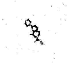 CC1CN(C(=O)OC(C)(C)C)CCc2ccc(N3CCOCC3)nc21